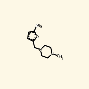 CCCCc1ccc(CN2CCN(C)CC2)o1